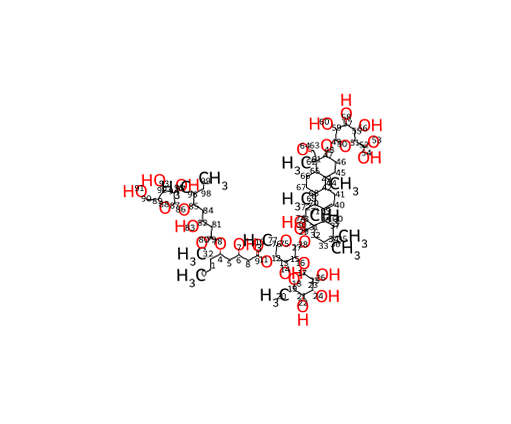 CC[C@H](C)C(CC(O)CC(=O)O[C@H]1[C@@H](O)[C@H](O[C@@H]2O[C@@H](C)[C@H](O)[C@@H](O)[C@H]2O)[C@@H](OC(=O)[C@]23CCC(C)(C)C[C@H]2C2=CCC4[C@@]5(C)CC[C@H](OC6O[C@H](C(=O)O)[C@@H](O)[C@H](O)[C@H]6O)[C@@](C)(C=O)C5CC[C@@]4(C)[C@]2(C)C[C@H]3O)O[C@H]1C)OC(=O)C[C@@H](O)CC(O[C@@H]1O[C@@H](CO)[C@H](O)[C@H]1O)[C@@H](C)CC